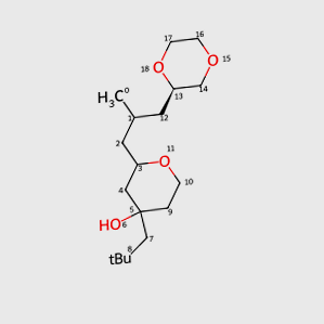 CC(CC1CC(O)(CC(C)(C)C)CCO1)C[C@@H]1COCCO1